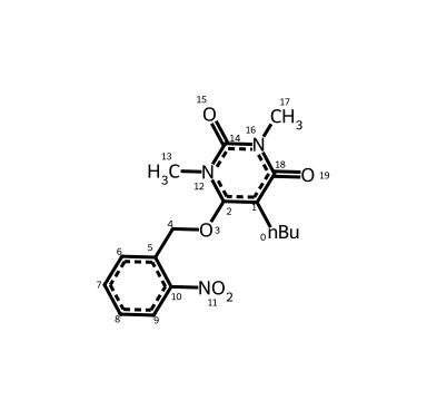 CCCCc1c(OCc2ccccc2[N+](=O)[O-])n(C)c(=O)n(C)c1=O